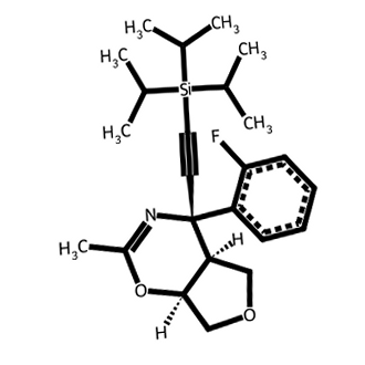 CC1=N[C@](C#C[Si](C(C)C)(C(C)C)C(C)C)(c2ccccc2F)[C@H]2COC[C@H]2O1